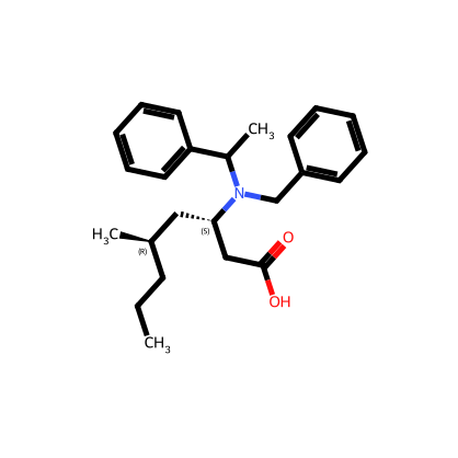 CCC[C@@H](C)C[C@@H](CC(=O)O)N(Cc1ccccc1)C(C)c1ccccc1